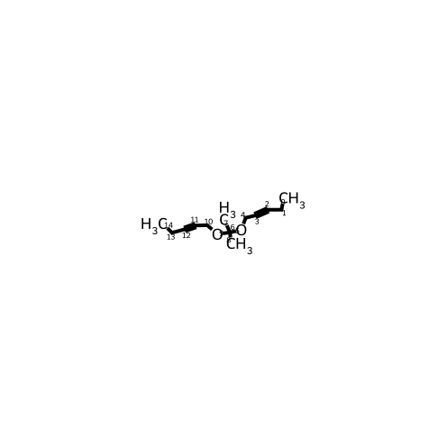 CCC#CCOC(C)(C)OCC#CCC